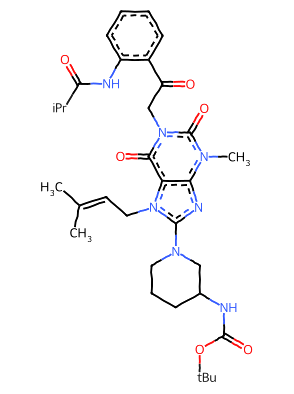 CC(C)=CCn1c(N2CCCC(NC(=O)OC(C)(C)C)C2)nc2c1c(=O)n(CC(=O)c1ccccc1NC(=O)C(C)C)c(=O)n2C